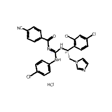 Cl.N#Cc1ccc(C(=O)/N=C(/Nc2ccc(Cl)cc2)N[C@@H](Cn2ccnc2)c2ccc(Cl)cc2Cl)cc1